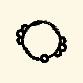 c1cc2ccc1COc1ccc(cc1)-c1ccc3ccc4ccc(nc4c3n1)-c1ccc(cc1)OCc1ccc(cc1)-c1ccc3ccc4ccc-2nc4c3n1